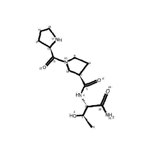 C[C@@H](O)[C@H](NC(=O)[C@@H]1CCN(C(=O)[C@H]2CCCN2)C1)C(N)=O